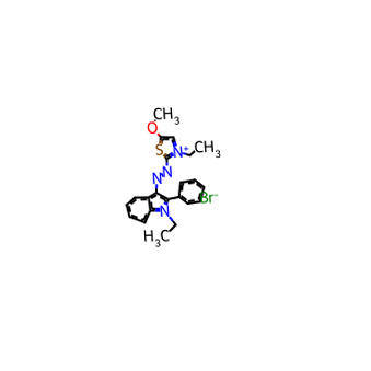 CCn1c(-c2ccccc2)c(/N=N/c2sc(OC)c[n+]2CC)c2ccccc21.[Br-]